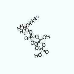 O.O.O.O=P([O-])([O-])OP(=O)(O)OP(=O)([O-])O.[K+].[K+].[K+]